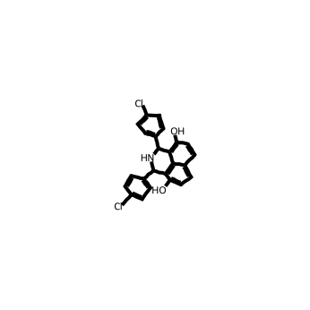 Oc1ccc2ccc(O)c3c2c1C(c1ccc(Cl)cc1)NC3c1ccc(Cl)cc1